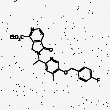 CCOC(=O)c1nccc2c1CN(C(C)c1cc(C)c(OCc3ccc(F)cc3)cn1)C2=O